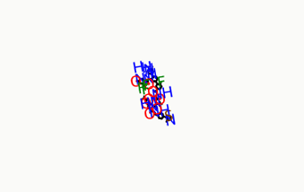 Cc1ncsc1-c1ccc(CNC(=O)C2CC(OC(=O)C(C)C)CN2C(=O)C(NC(=O)CNC(=O)c2ccc(F)c(-c3ccc(N4C[C@@H](C)N(C)[C@@H](C)C4)c(NC(=O)c4c[nH]c(=O)cc4C(F)(F)F)c3)c2)C(C)(C)C)cc1